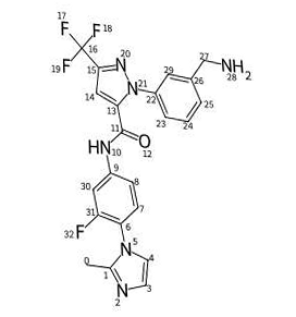 Cc1nccn1-c1ccc(NC(=O)c2cc(C(F)(F)F)nn2-c2cccc(CN)c2)cc1F